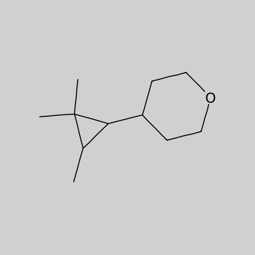 CC1C(C2CCOCC2)C1(C)C